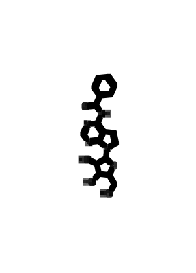 O=C(Nc1ncnc2c1ccn2C1OC(CO)C(O)C1O)c1ccccc1